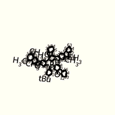 CC(C)(C)c1ccc(N2B3c4cc5oc6ccccc6c5cc4-n4c5cc6c(cc5c5c7c(oc8ccccc87)c(c3c54)-c3cc4c(cc32)oc2cc3c(cc24)C(C)(C)CCC3(C)C)-c2ccccc2C6(C)C)cc1